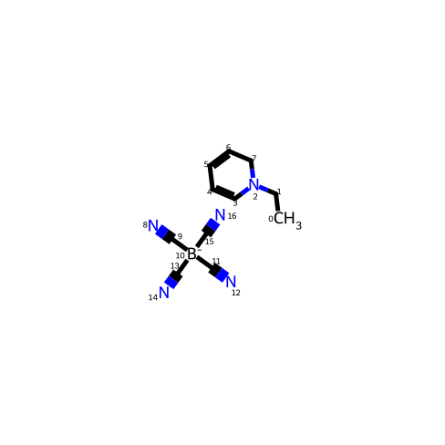 CCN1C=CC=CC1.N#C[B-](C#N)(C#N)C#N